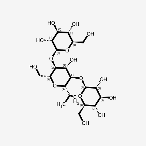 CC(C)[C@@H]1O[C@H](CO)[C@@H](O[C@@H]2O[C@H](CO)[C@@H](O)[C@H](O)[C@H]2O)[C@H](O)[C@H]1O[C@@H]1O[C@H](CO)[C@@H](O)[C@H](O)[C@H]1O